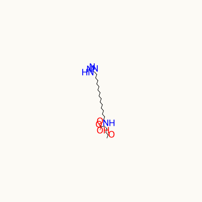 CC(=O)CC[C@H](NC(=O)CCCCCCCCCCCCCCCc1nnn[nH]1)C(=O)O